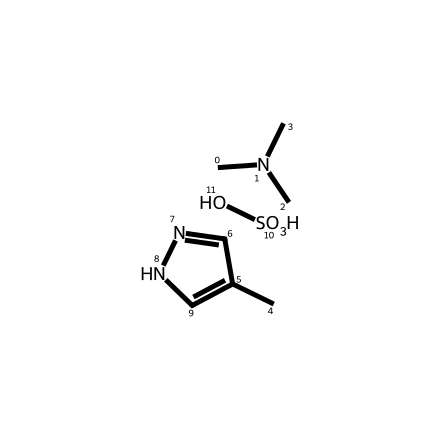 CN(C)C.Cc1cn[nH]c1.O=S(=O)(O)O